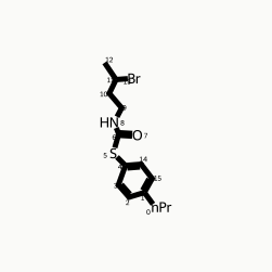 CCCc1ccc(SC(=O)NCCC(C)Br)cc1